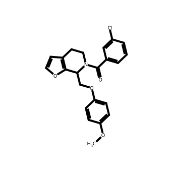 COc1ccc(OCC2c3occc3CCN2C(=O)c2cccc(Cl)c2)cc1